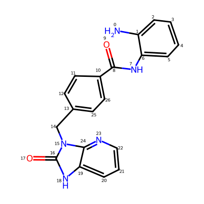 Nc1ccccc1NC(=O)c1ccc(Cn2c(=O)[nH]c3cccnc32)cc1